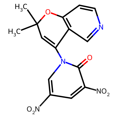 CC1(C)C=C(n2cc([N+](=O)[O-])cc([N+](=O)[O-])c2=O)c2cnccc2O1